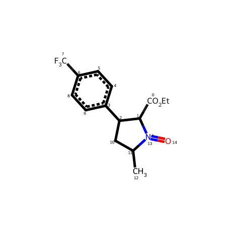 CCOC(=O)C1C(c2ccc(C(F)(F)F)cc2)CC(C)[N+]1=O